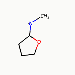 C[N]C1CCCO1